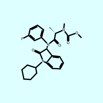 COC(=O)N(C)[C@@H](C)C(=O)N(c1cccc(F)c1)[C@@H]1C(=O)N(C2CCCCC2)c2ccccc21